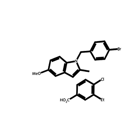 CCc1cc(C(=O)O)ccc1Cl.COc1ccc2c(c1)cc(C)n2Cc1ccc(Br)cc1